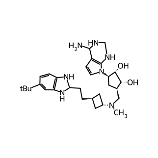 CN(C[C@H]1C[C@@H](n2ccc3c2NCNC3N)[C@H](O)[C@@H]1O)[C@H]1C[C@H](CCC2Nc3ccc(C(C)(C)C)cc3N2)C1